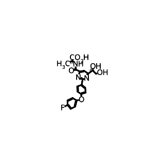 C[C@H](NC(=O)c1cc([C@H](O)CO)nc(-c2ccc(Oc3ccc(F)cc3)cc2)n1)C(=O)O